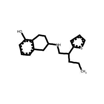 CCCC(CNC1CCc2c(O)cccc2C1)c1cccs1